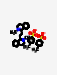 C[N+]1=C(CCC2=[N+](C)CCc3ccccc32)c2ccccc2CC1.Cc1ccc(S(=O)(=O)[O-])cc1.Cc1ccc(S(=O)(=O)[O-])cc1